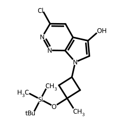 CC1(O[Si](C)(C)C(C)(C)C)CC(n2cc(O)c3cc(Cl)nnc32)C1